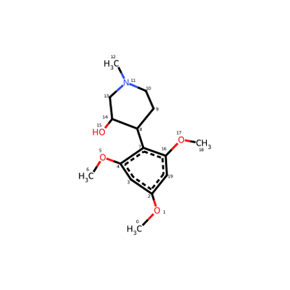 COc1cc(OC)c(C2CCN(C)CC2O)c(OC)c1